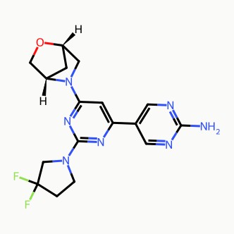 Nc1ncc(-c2cc(N3C[C@@H]4C[C@H]3CO4)nc(N3CCC(F)(F)C3)n2)cn1